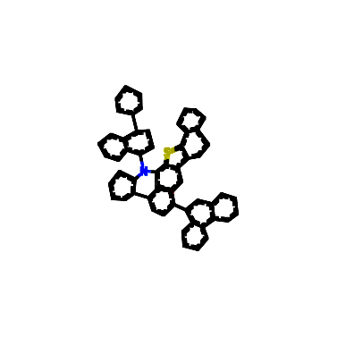 c1ccc(-c2ccc(N(c3ccccc3-c3ccc(-c4cc5ccccc5c5ccccc45)cc3)c3cccc4c3sc3c5ccccc5ccc43)c3ccccc23)cc1